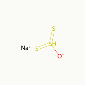 [Na+].[O-][SH](=S)=S